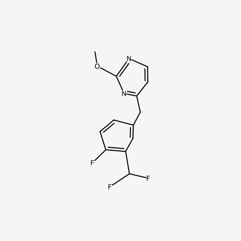 COc1nccc([CH]c2ccc(F)c(C(F)F)c2)n1